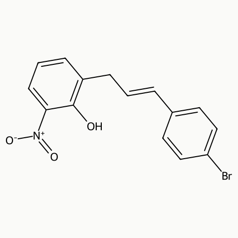 O=[N+]([O-])c1cccc(CC=Cc2ccc(Br)cc2)c1O